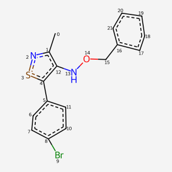 Cc1nsc(-c2ccc(Br)cc2)c1NOCc1ccccc1